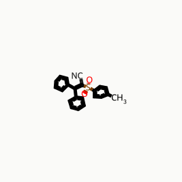 [C-]#[N+]C(=C(c1ccccc1)c1ccccc1)S(=O)(=O)c1ccc(C)cc1